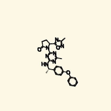 Cc1nc(N[C@@H](C)c2ccc(Oc3ccccc3)cc2)nc(N2C(=O)CCC2c2nc(C)no2)n1